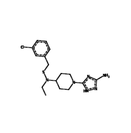 CCN(SCc1cccc(Cl)c1)C1CCN(c2nc(N)n[nH]2)CC1